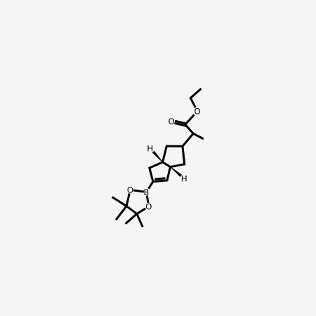 CCOC(=O)C(C)C1C[C@H]2CC(B3OC(C)(C)C(C)(C)O3)=C[C@H]2C1